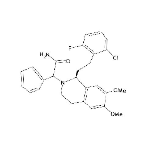 COc1cc2c(cc1OC)[C@H](CCc1c(F)cccc1Cl)N(C(C(N)=O)c1ccccc1)CC2